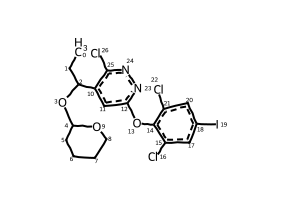 CCC(OC1CCCCO1)c1cc(Oc2c(Cl)cc(I)cc2Cl)nnc1Cl